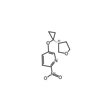 O=[N+]([O-])c1ccc(OC2([C@@H]3CCOC3)CC2)cn1